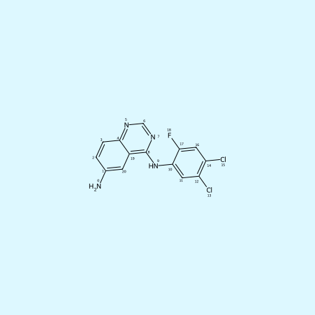 Nc1ccc2ncnc(Nc3cc(Cl)c(Cl)cc3F)c2c1